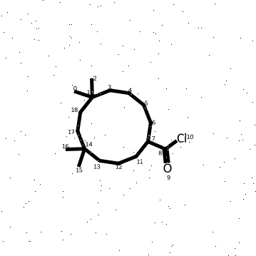 CC1(C)CCCCC(C(=O)Cl)CCCC(C)(C)CC1